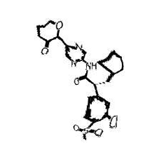 CS(=O)(=O)c1ccc([C@@H](CC2CCCC2)C(=O)Nc2cnc(C3OCCCC3=O)cn2)cc1Cl